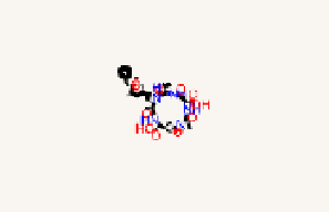 CC[C@H]1C(=O)N[C@@H](C(=O)O)[C@H](C)C(=O)N[C@@H](C(C)C)C(=O)N[C@@H](CC[C@@H](C)C[C@H](C)[C@H](Cc2ccccc2)OC)[C@H](C)C(=O)N[C@@H](C(=O)O)CCC(=O)N1C